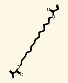 C=CC(=O)OCCCCCCCCCCCCCCOC(=O)C(=C)C